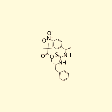 C[C@@H](NC(=S)N[C@@H](COC(=O)C(C)(C)C)Cc1ccccc1)c1ccc([N+](=O)[O-])cc1